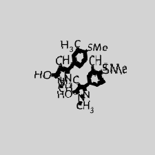 CSc1ccc(-c2nn(C)c(O)c2C)cc1C.CSc1ccc(-c2nn(C)c(O)c2C)cc1C